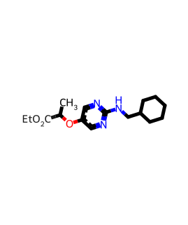 CCOC(=O)C(C)Oc1cnc(NCC2CCCCC2)nc1